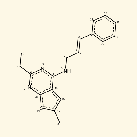 CCc1nc(NCC=Cc2ccccc2)c2cc(C)sc2n1